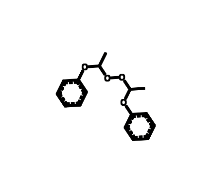 CC(OOC(C)Oc1ccccc1)Oc1ccccc1